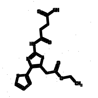 CCOC(=O)Cc1sc(NC(=O)CCC(=O)O)nc1-c1cccs1